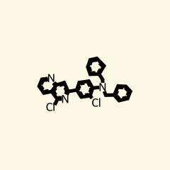 Clc1cc(-c2cc3ncccc3c(Cl)n2)ccc1N(Cc1ccccc1)Cc1ccccc1